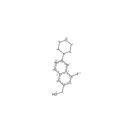 OCc1cc(F)c2nc(C3CCOCC3)ncc2c1